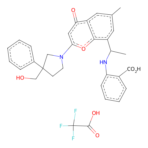 Cc1cc(C(C)Nc2ccccc2C(=O)O)c2oc(N3CCC(CO)(c4ccccc4)C3)cc(=O)c2c1.O=C(O)C(F)(F)F